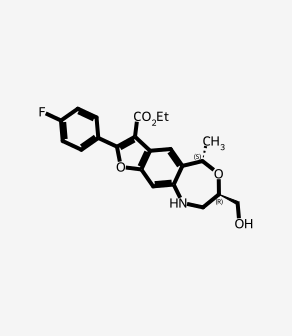 CCOC(=O)c1c(-c2ccc(F)cc2)oc2cc3c(cc12)[C@H](C)O[C@@H](CO)CN3